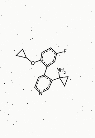 NC1(c2cnccc2-c2cc(F)ccc2OC2CC2)CC1